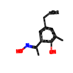 CCCCCCCCCc1cc(C)c(O)c(/C(C)=N/O)c1